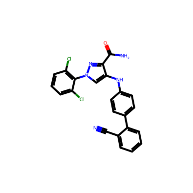 N#Cc1ccccc1-c1ccc(Nc2cn(-c3c(Cl)cccc3Cl)nc2C(N)=O)cc1